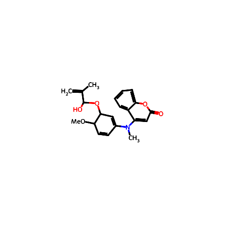 C=C(C)C(O)OC1C=C(N(C)c2cc(=O)oc3ccccc23)C=CC1OC